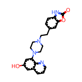 O=c1[nH]c2ccc(CCN3CCN(c4cc(O)cc5cccnc45)CC3)cc2o1